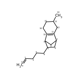 C=CCCCC1CC2CC1C1=C2CC(C)CC1